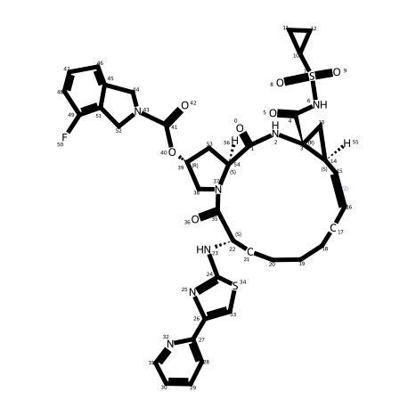 O=C1N[C@]2(C(=O)NS(=O)(=O)C3CC3)C[C@H]2/C=C\CCCCC[C@H](Nc2nc(-c3ccccn3)cs2)C(=O)N2C[C@H](OC(=O)N3Cc4cccc(F)c4C3)C[C@@H]12